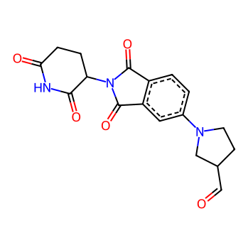 O=CC1CCN(c2ccc3c(c2)C(=O)N(C2CCC(=O)NC2=O)C3=O)C1